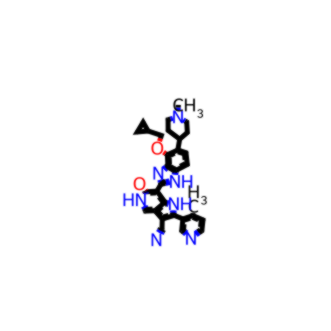 Cc1ccncc1-c1[nH]c2c(-c3nc4c(OCC5CC5)c(C5CCN(C)CC5)ccc4[nH]3)c(=O)[nH]cc2c1C#N